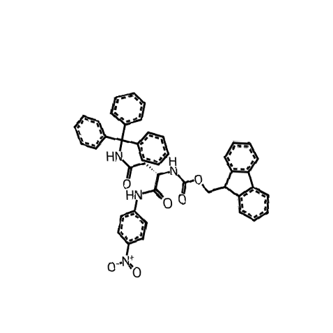 O=C(C[C@H](NC(=O)OCC1c2ccccc2-c2ccccc21)C(=O)Nc1ccc([N+](=O)[O-])cc1)NC(c1ccccc1)(c1ccccc1)c1ccccc1